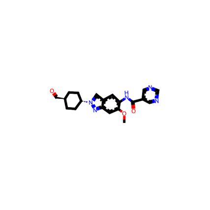 COc1cc2nn([C@H]3CC[C@H](C=O)CC3)cc2cc1NC(=O)c1cncnc1